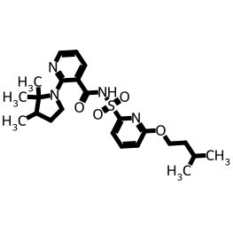 CC(C)CCOc1cccc(S(=O)(=O)NC(=O)c2cccnc2N2CCC(C)C2(C)C)n1